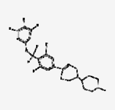 CC1CCC(C2CC=C(c3cc(F)c(C(F)(F)Oc4cc(F)c(F)c(F)c4)c(F)c3)CC2)CC1